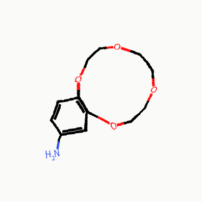 Nc1ccc2c(c1)OCCOCCOCCO2